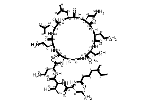 CCC(C)CCCC(=O)N[C@H](CCN)C(=O)N[C@H](C(=O)N[C@@H](CCN)C(=O)N[C@H]1CCNC(=O)[C@H]([C@@H](C)O)NC(=O)[C@H](CCN)NC(=O)[C@H](CCN)NC(=O)[C@H](CC(C)C)NC(=O)[C@@H](CC(C)C)NC(=O)[C@H](CCN)NC1=O)[C@@H](C)O